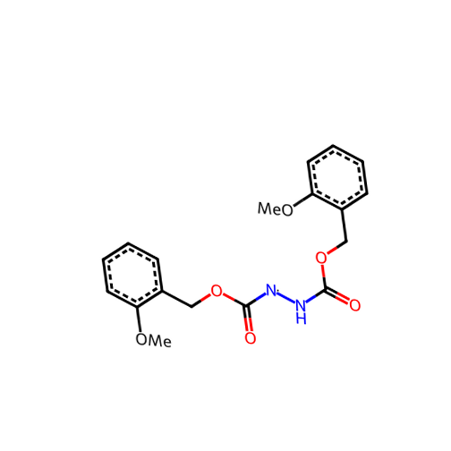 COc1ccccc1COC(=O)[N]NC(=O)OCc1ccccc1OC